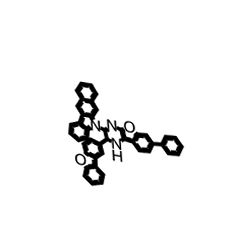 c1ccc(-c2ccc3c4c(oc3c2)N=C(n2c3ccccc3c3cc5ccccc5cc32)C(c2ccc3oc5ccccc5c3c2)N4)cc1